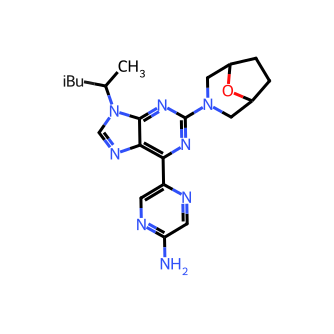 CCC(C)C(C)n1cnc2c(-c3cnc(N)cn3)nc(N3CC4CCC(C3)O4)nc21